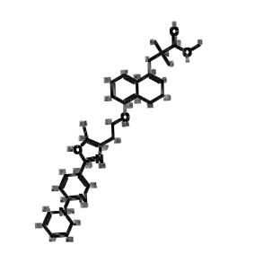 COC(=O)C(C)(C)CC1=CCCc2c(OCCc3nc(-c4ccc(N5C=CC=CC5)nc4)oc3C)cccc21